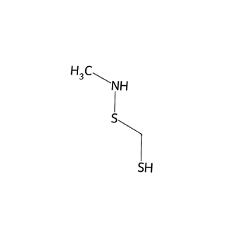 CNSCS